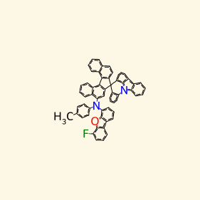 Cc1ccc(N(c2cc3c(c4ccccc24)-c2c(ccc4ccccc24)C32c3ccccc3-n3c4ccccc4c4cccc2c43)c2cccc3c2oc2c(F)cccc23)cc1